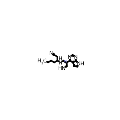 CCCCC(CC#N)N/C=C(\C=N)c1ncnc2[nH]ccc12